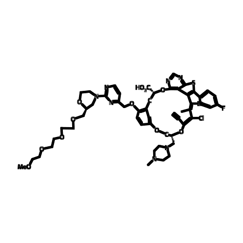 C#C/C1=C(Cl)\C(C)=C(/CC)c2c(-c3ccc(F)cc3)sc3ncnc(c23)O[C@@H](C(=O)O)Cc2cc(ccc2OCc2ccnc(N3CCO[C@H](COCCOCCOCCOC)C3)n2)OC[C@@H](CN2CCN(C)CC2)O1